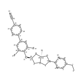 CCc1cnc(N2CC3C[C@@H](Oc4c(F)cc(-c5ccc(C#N)cc5)cc4F)C[C@@]3(C)C2)nc1